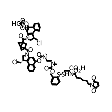 CN(CCN(C)C(=O)Oc1cc2c(c3ccccc13)[C@H](CCl)CN2C(=O)C12CC3(C(=O)N4CC(CCl)c5c4cc(OP(=O)(O)O)c4ccccc54)CC31C2)C(=O)OCc1ccccc1SSC[C@H](NC(=O)CCCCCN1C(=O)C=CC1=O)C(=O)O